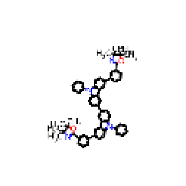 CC1(C)N=C(c2cccc(-c3ccc4c(c3)c3cc(-c5ccc6c(c5)c5cc(-c7cccc(C8=NC(C)(C)C(C)(C)O8)c7)ccc5n6-c5ccccc5)ccc3n4-c3ccccc3)c2)OC1(C)C